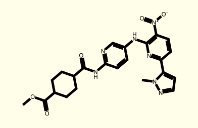 COC(=O)C1CCC(C(=O)Nc2ccc(Nc3nc(-c4ccnn4C)ccc3[N+](=O)[O-])cn2)CC1